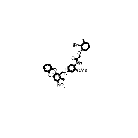 COc1cc(NCc2c(Oc3ccccc3C(=O)O)ccc([N+](=O)[O-])c2F)ccc1NC(=O)COC1CCCC(C)C1C(C)C